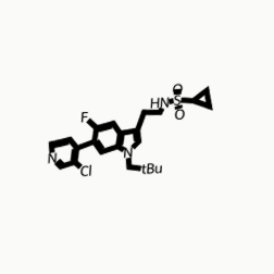 CC(C)(C)Cn1cc(CCNS(=O)(=O)C2CC2)c2cc(F)c(-c3ccncc3Cl)cc21